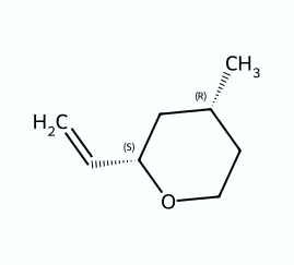 C=C[C@@H]1C[C@H](C)CCO1